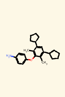 Cc1c(C2CCCC2)[c]c(C2CCCC2)c(C)c1Oc1ccc(N)cc1